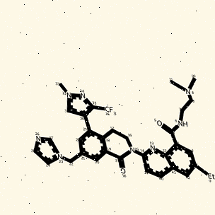 CCc1cc(C(=O)NCCN(C)C)c2nc(N3CCc4c(cc(Cn5ccnc5)cc4-c4cn(C)nc4C(F)(F)F)C3=O)ccc2c1